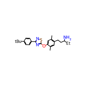 CCC(N)CCc1cc(C)c(Oc2nc(-c3ccc(C(C)(C)C)cc3)ns2)cc1C